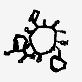 C[C@H]1CC(=O)C(C2CCO2)N(C)C(=O)[C@H](C)[C@H](O)[C@H](Cc2cccnc2)NC(=O)[C@H]1NC(=O)c1ncccc1O